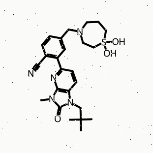 Cn1c(=O)n(CC(C)(C)C)c2ccc(-c3cc(CN4CCCS(O)(O)CC4)ccc3C#N)nc21